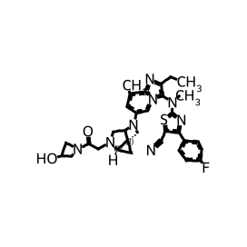 CCc1nc2c(C)cc(N3C[C@]45C[C@H]4N(CC(=O)N4CC(O)C4)CC35)cn2c1N(C)c1nc(-c2ccc(F)cc2)c(C#N)s1